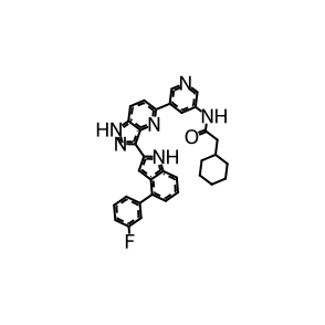 O=C(CC1CCCCC1)Nc1cncc(-c2ccc3[nH]nc(-c4cc5c(-c6cccc(F)c6)cccc5[nH]4)c3n2)c1